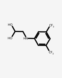 OC(O)CNc1cc(C(F)(F)F)cc(C(F)(F)F)c1